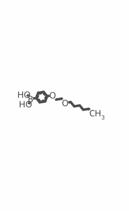 CCCCCCOCCOc1ccc(B(O)O)cc1